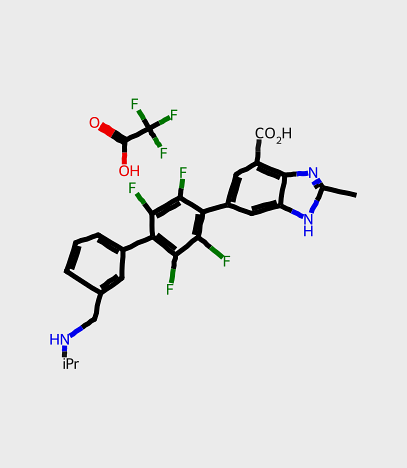 Cc1nc2c(C(=O)O)cc(-c3c(F)c(F)c(-c4cccc(CNC(C)C)c4)c(F)c3F)cc2[nH]1.O=C(O)C(F)(F)F